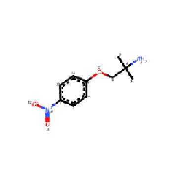 CC(C)(N)COc1ccc([N+](=O)[O-])cc1